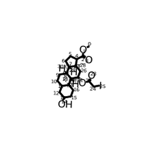 COC(=O)C1CC[C@H]2[C@@H]3CCC4CC(O)CC[C@]4(C)[C@@H]3C(OC(=O)CI)C[C@]12C